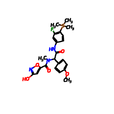 COc1ccc(C(C(=O)Nc2ccc(S(C)(C)C)c(F)c2)N(C)C(=O)c2cc(O)no2)cc1